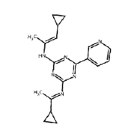 CC(=CC1CC1)Nc1nc(/N=C(\C)C2CC2)nc(-c2cccnc2)n1